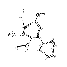 COc1cc(-c2ccccc2)c(OC)c(N)c1OC